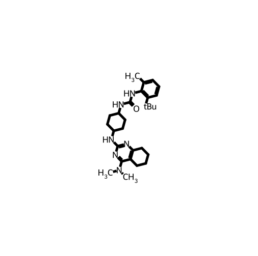 Cc1cccc(C(C)(C)C)c1NC(=O)NC1CCC(Nc2nc3c(c(N(C)C)n2)CCCC3)CC1